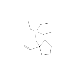 C=CC1(O[Si](CC)(CC)CC)CCCC1